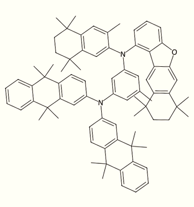 Cc1cc(N(c2ccc3c(c2)C(C)(C)c2ccccc2C3(C)C)c2ccc3c(c2)C(C)(C)c2ccccc2C3(C)C)cc(N(c2cc3c(cc2C)C(C)(C)CCC3(C)C)c2cccc3oc4cc5c(cc4c23)C(C)(C)CCC5(C)C)c1